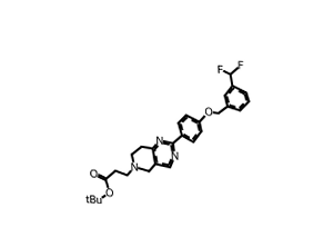 CC(C)(C)OC(=O)CCN1CCc2nc(-c3ccc(OCc4cccc(C(F)F)c4)cc3)ncc2C1